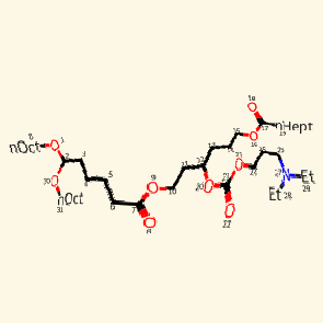 CCCCCCCCOC(CCCCC(=O)OCCC(CCCOC(=O)CCCCCCC)OC(=O)OCCCN(CC)CC)OCCCCCCCC